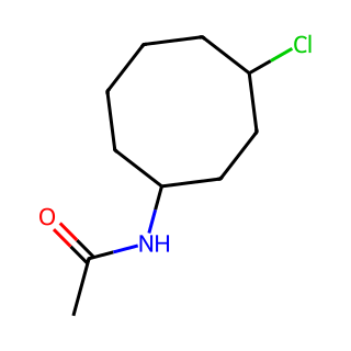 CC(=O)NC1CCCCC(Cl)CC1